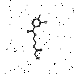 CC(=O)CC(=O)OCCOC(=O)c1ccc(C)c(Cl)c1